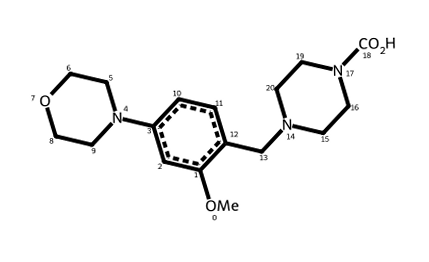 COc1cc(N2CCOCC2)ccc1CN1CCN(C(=O)O)CC1